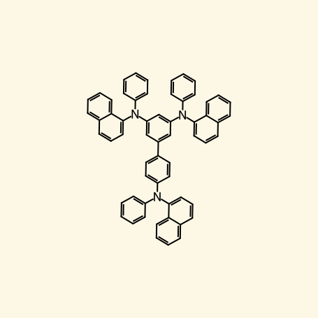 c1ccc(N(c2ccc(-c3cc(N(c4ccccc4)c4cccc5ccccc45)cc(N(c4ccccc4)c4cccc5ccccc45)c3)cc2)c2cccc3ccccc23)cc1